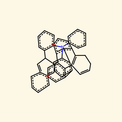 C1=CC2=C(CC1)c1cccc3c1-c1c(cccc1N(c1ccccc1)c1ccccc1C1C=c4ccccc4=CC1)-c1cccc-3c12